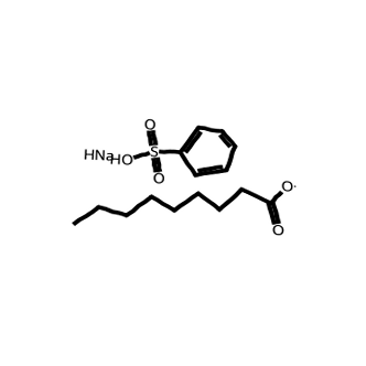 CCCCCCCCC([O])=O.O=S(=O)(O)c1ccccc1.[NaH]